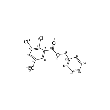 Cc1cc(Cl)c(Cl)c(C(=O)OCc2ccccc2)c1